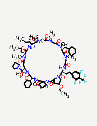 CCC[C@H]1C(=O)N[C@@H]([C@@H](C)CC)C(=O)N(C)CC(=O)N(C)CC(=O)N(C)[C@@H](CC2CCCCC2)C(=O)N(C)CC(=O)N[C@@H](CCc2cc(F)c(C(F)(F)F)c(F)c2)C(=O)N2C[C@H](OCC)C[C@H]2C(=O)NC2(CCCC2)C(=O)N(C)[C@@H](C2CCCCC2)C(=O)N(C)[C@H](C(=O)N2CCCC2)CC(=O)N1C